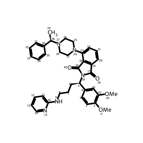 COc1ccc([C@@H](CCCNc2ccccn2)N2C(=O)c3cccc(N4CCN([C@H](C)c5ccccc5)CC4)c3C2=O)cc1OC